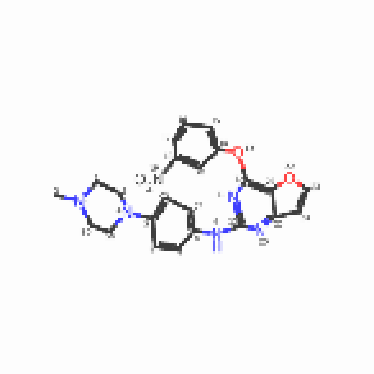 CN1CCN(c2ccc(Nc3nc(Oc4cccc([N+](=O)[O-])c4)c4occc4n3)cc2)CC1